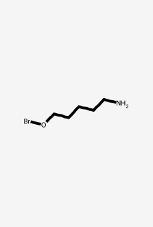 NCCCCCOBr